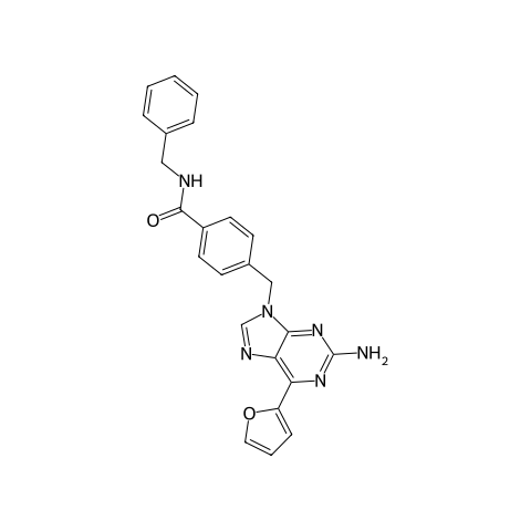 Nc1nc(-c2ccco2)c2ncn(Cc3ccc(C(=O)NCc4ccccc4)cc3)c2n1